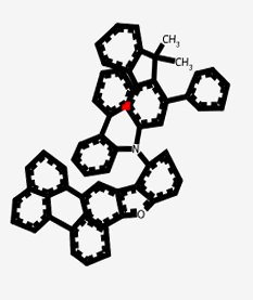 CC1(C)c2ccccc2-c2cc(N(c3ccccc3-c3ccccc3)c3cccc4oc5ccc(-c6cccc7cccc(-c8ccccc8)c67)cc5c34)cc(-c3ccccc3)c21